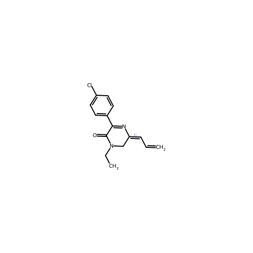 C=C/C=C1\CN(CC)C(=O)C(c2ccc(Cl)cc2)=N1